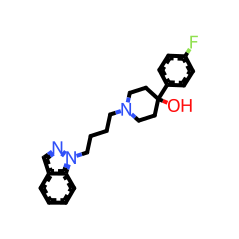 OC1(c2ccc(F)cc2)CCN(CCCCn2ncc3ccccc32)CC1